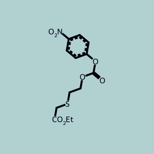 CCOC(=O)CSCCOC(=O)Oc1ccc([N+](=O)[O-])cc1